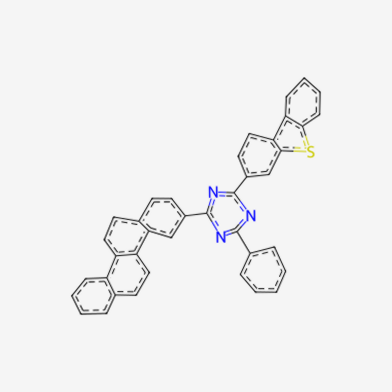 c1ccc(-c2nc(-c3ccc4c(c3)sc3ccccc34)nc(-c3ccc4ccc5c6ccccc6ccc5c4c3)n2)cc1